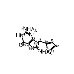 CC(=O)Nc1nc2c(nc(NC(C)=O)n2Cc2cccs2)c(=O)[nH]1